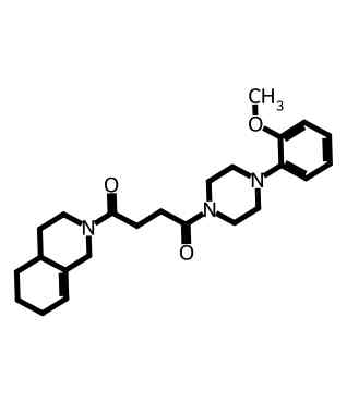 COc1ccccc1N1CCN(C(=O)CCC(=O)N2CCC3CCCC=C3C2)CC1